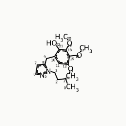 CCCCn1nccc1Cc1cc(OC)c(OC)c(OC)c1O